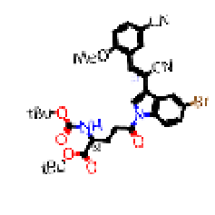 COc1ccc(C#N)cc1/C=C(\C#N)c1cn(C(=O)CC[C@H](NC(=O)OC(C)(C)C)C(=O)OC(C)(C)C)c2ccc(Br)cc12